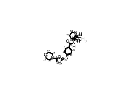 C[C@H]1[C@H](NC(=O)c2ccc(Oc3nnc(N4CCOCC4)o3)cc2)C2CCN1CC2